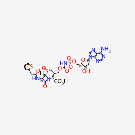 Nc1ncnc2c1ncn2[C@H]1C[C@H](O)[C@@H](COS(=O)(=O)NC(=O)OCC2=C(C(=O)O)N3C(=O)[C@@H](NC(=O)Cc4cccs4)[C@H]3[S+]([O-])C2)O1